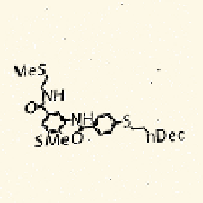 CCCCCCCCCCCCSc1ccc(C(=O)Nc2cc(C(=O)NCCSC)ccc2SC)cc1